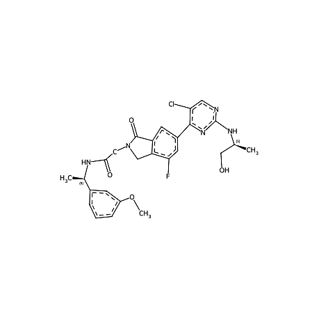 COc1cccc([C@@H](C)NC(=O)CN2Cc3c(F)cc(-c4nc(N[C@@H](C)CO)ncc4Cl)cc3C2=O)c1